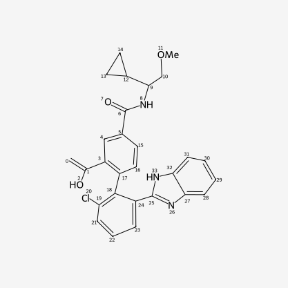 C=C(O)c1cc(C(=O)NC(COC)C2CC2)ccc1-c1c(Cl)cccc1-c1nc2ccccc2[nH]1